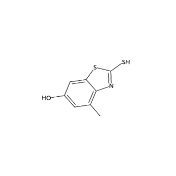 Cc1cc(O)cc2sc(S)nc12